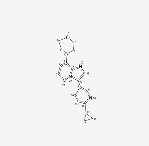 c1cc(N2CCOCC2)c2ncc(-c3ccc(C4CC4)nc3)n2n1